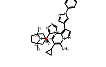 Nc1c(C2CC2)c([C@H]2C[C@H]3CC[C@@H](C2)N3C(=O)c2nnc[nH]2)nc2c(-c3cnn(-c4ccccc4)c3)cnn12